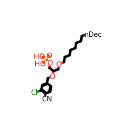 CCCCCCCCCCCCCCCCCCOCC(COP(=O)(O)O)OCc1ccc(C#N)c(Cl)c1